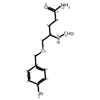 CC(C)c1ccc(COCC(CCC(N)=O)NC=O)cc1